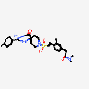 Cc1cc(CC(=O)N(C)C)ccc1C=CS(=O)(=O)N1CCC2(CC1)N=C(C1CCC(C)CC1)NC2=O